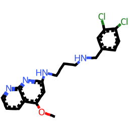 COc1cc(NCCCNCc2ccc(Cl)c(Cl)c2)nc2ncccc12